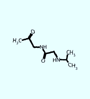 CC(=O)CNC(=O)CNC(C)C